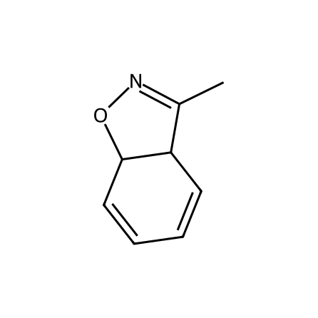 CC1=NOC2C=CC=CC12